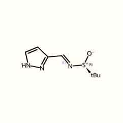 CC(C)(C)[S@+]([O-])/N=C/c1cc[nH]n1